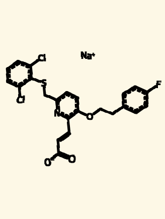 O=C([O-])C=Cc1nc(CSc2c(Cl)cccc2Cl)ccc1OCCc1ccc(F)cc1.[Na+]